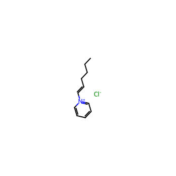 CCCCC=C[n+]1ccccc1.[Cl-]